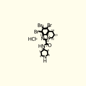 Cl.O=C(NC1CCNCC1)c1nc2c(Br)c(Br)c(Br)c3c2n1CCC3